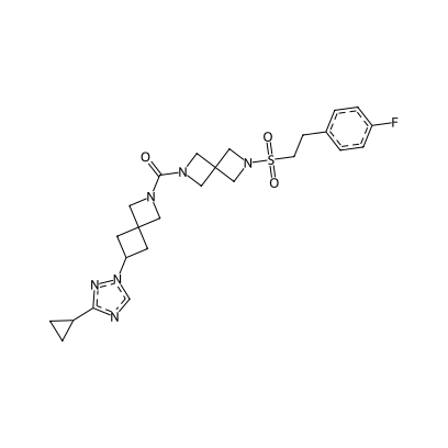 O=C(N1CC2(CC(n3cnc(C4CC4)n3)C2)C1)N1CC2(C1)CN(S(=O)(=O)CCc1ccc(F)cc1)C2